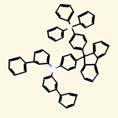 c1ccc(-c2cccc(N(c3ccc(C4(c5ccc([Si](c6ccccc6)(c6ccccc6)c6ccccc6)cc5)c5ccccc5-c5ccccc54)cc3)c3cccc(-c4ccccc4)c3)c2)cc1